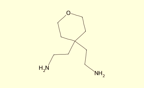 NCCC1(CCN)CCOCC1